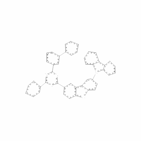 c1ccc(-c2cccc(-c3nc(-c4ccccc4)nc(-c4ccc5oc6ccc(-n7c8ccccc8c8ccccc87)cc6c5c4)n3)c2)cc1